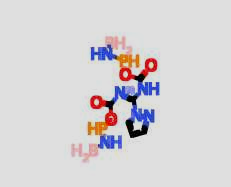 BNPOC(=O)/N=C(/NC(=O)OPNB)n1cccn1